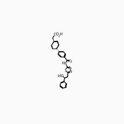 O=C(O)C[C@H]1CC[C@H](c2ccc(C(=O)Nc3nnc(CC(O)c4ccccc4)s3)cc2)CC1